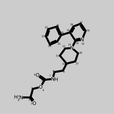 NC(=O)COC(=O)NCCC1CCN(c2ncccc2-c2ccccc2)CC1